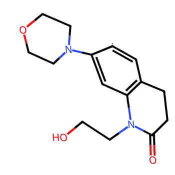 O=C1CCc2c[c]c(N3CCOCC3)cc2N1CCO